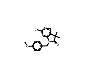 COc1ccc(CN2C(=O)C(C)(C)c3nnc(Cl)nc32)cc1